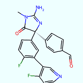 CN1C(=O)[C@](c2ccc(C=O)cc2)(c2ccc(F)c(-c3cnccc3F)c2)N=C1N